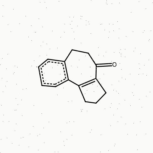 O=C1CCc2c[c]ccc2C2=C1CCC2